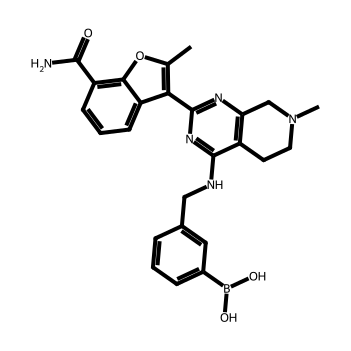 Cc1oc2c(C(N)=O)cccc2c1-c1nc2c(c(NCc3cccc(B(O)O)c3)n1)CCN(C)C2